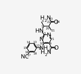 CC(Nc1ncc(C(N)=O)c(Nc2cccc(C#N)c2)n1)C(C)C(N)=O